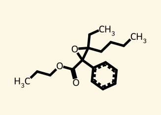 CCCCC1(CC)OC1(C(=O)OCCC)c1ccccc1